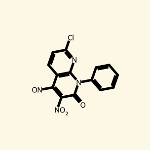 O=Nc1c([N+](=O)[O-])c(=O)n(-c2ccccc2)c2nc(Cl)ccc12